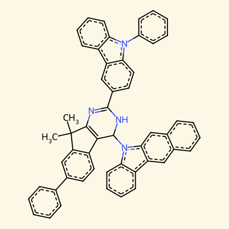 CC1(C)C2=C(c3ccc(-c4ccccc4)cc31)C(n1c3ccccc3c3cc4ccccc4cc31)NC(c1ccc3c(c1)c1ccccc1n3-c1ccccc1)=N2